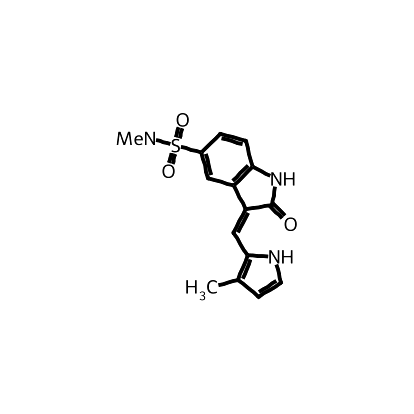 CNS(=O)(=O)c1ccc2c(c1)C(=Cc1[nH]ccc1C)C(=O)N2